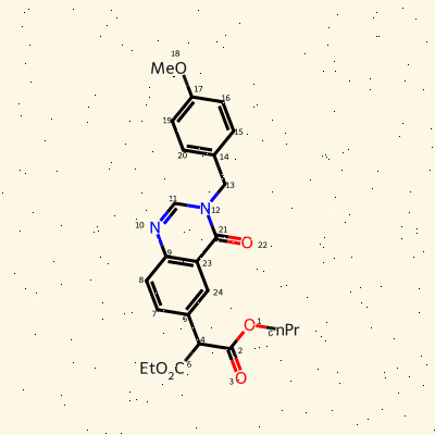 CCCOC(=O)C(C(=O)OCC)c1ccc2ncn(Cc3ccc(OC)cc3)c(=O)c2c1